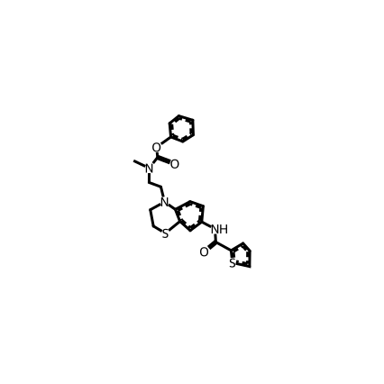 CN(CCN1CCSc2cc(NC(=O)c3cccs3)ccc21)C(=O)Oc1ccccc1